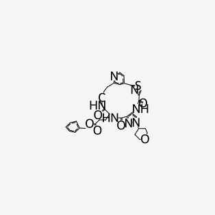 O=C(CCC1NC(=O)c2nn(C3CCOCC3)cc2NC(=O)c2csc(n2)-c2ccnc(c2)CCCNC1=O)OCc1ccccc1